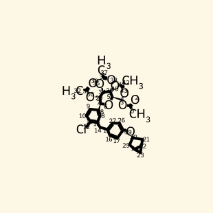 CC(=O)OC[C@H]1O[C@@H](c2ccc(Cl)c(Cc3ccc(OC4CC5CC5C4)cc3)c2)[C@H](OC(C)=O)[C@@H](OC(C)=O)[C@@H]1OC(C)=O